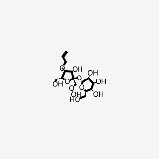 C=CCO[C@@H]1[C@@H](CO)O[C@@](COO)(O[C@H]2O[C@H](CO)[C@@H](O)[C@H](O)[C@H]2O)[C@H]1O